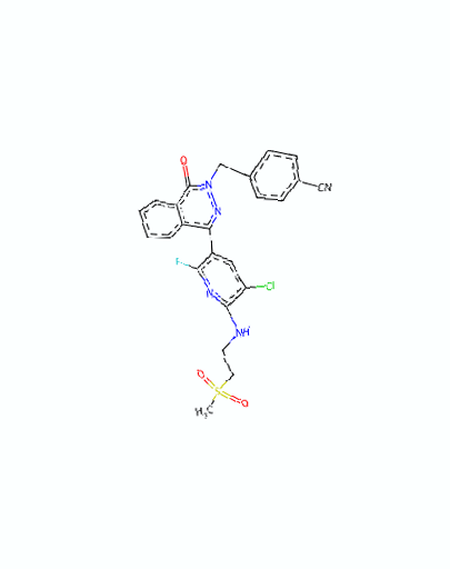 CS(=O)(=O)CCNc1nc(F)c(-c2nn(Cc3ccc(C#N)cc3)c(=O)c3ccccc23)cc1Cl